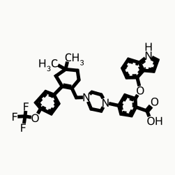 CC1(C)CCC(CN2CCN(c3ccc(C(=O)O)c(Oc4cccc5[nH]ccc45)c3)CC2)=C(c2ccc(OC(F)(F)F)cc2)C1